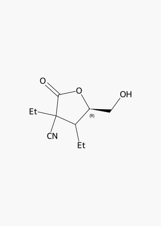 CCC1[C@H](CO)OC(=O)C1(C#N)CC